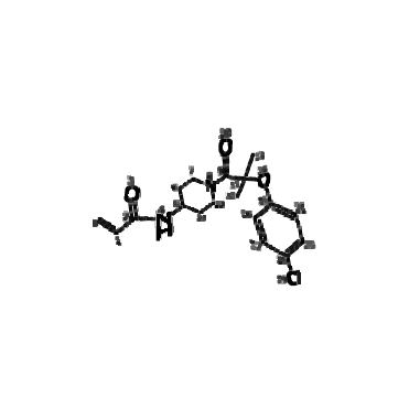 C=CC(=O)NC1CCN(C(=O)C(C)(C)Oc2ccc(Cl)cc2)CC1